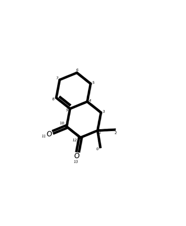 CC1(C)CC2CCCC=C2C(=O)C1=O